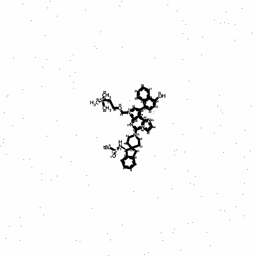 CC(C)(C)[S+]([O-])N[C@@H]1c2ccccc2CC12CCN(c1nc3c(c(-c4ccc(O)c5ccccc45)cn3COCC[Si](C)(C)C)c3nccn13)CC2